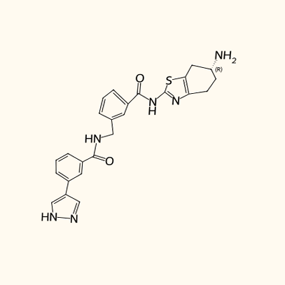 N[C@@H]1CCc2nc(NC(=O)c3cccc(CNC(=O)c4cccc(-c5cn[nH]c5)c4)c3)sc2C1